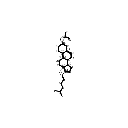 CC(C)CCCC[C@H]1CCC2C3CC=C4CC(OC(C)C)CC[C@]4(C)C3CC[C@@]21C